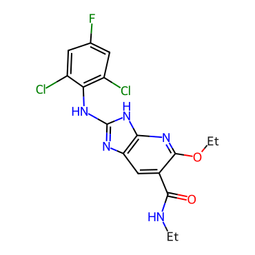 CCNC(=O)c1cc2nc(Nc3c(Cl)cc(F)cc3Cl)[nH]c2nc1OCC